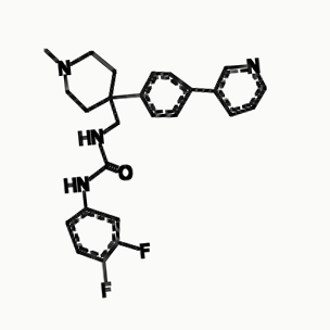 CN1CCC(CNC(=O)Nc2ccc(F)c(F)c2)(c2ccc(-c3cccnc3)cc2)CC1